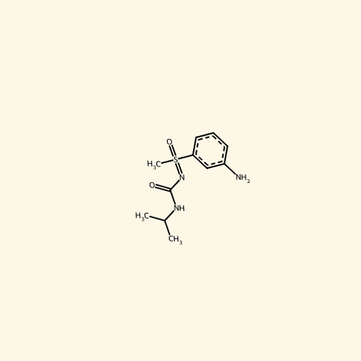 CC(C)NC(=O)N=S(C)(=O)c1cccc(N)c1